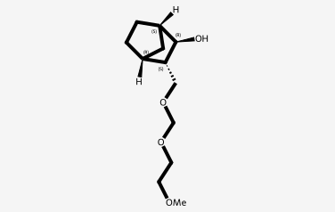 COCCOCOC[C@@H]1[C@@H]2CC[C@@H](C2)[C@H]1O